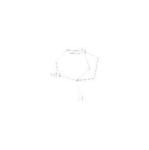 C1=[N+]2CC[C@H](C2)NC1